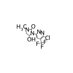 CN1CC(O)N(c2cc(C(F)(F)F)c(Cl)nn2)C1=O